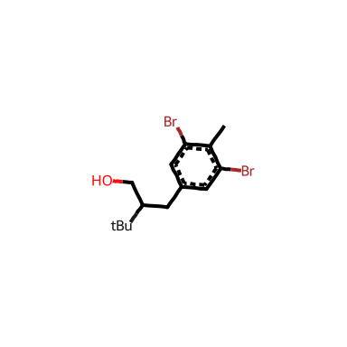 Cc1c(Br)cc(CC(CO)C(C)(C)C)cc1Br